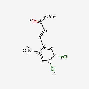 COC(=O)C=Cc1cc(Cl)c(Cl)cc1[N+](=O)[O-]